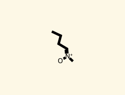 CCCC=[N+](C)[O-]